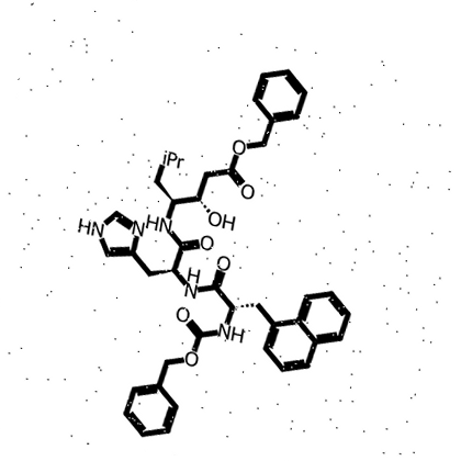 CC(C)C[C@H](NC(=O)[C@H](Cc1c[nH]cn1)NC(=O)[C@H](Cc1cccc2ccccc12)NC(=O)OCc1ccccc1)[C@@H](O)CC(=O)OCc1ccccc1